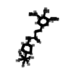 COc1cc(/C=C/C(=O)Nc2ccc(S(F)(F)(F)(F)F)cc2)cc(OC)c1O